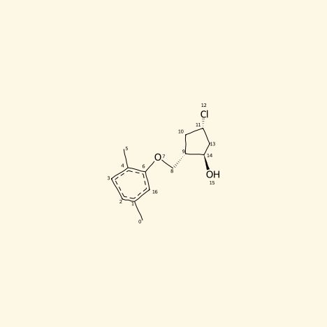 Cc1ccc(C)c(OC[C@@H]2C[C@H](Cl)C[C@H]2O)c1